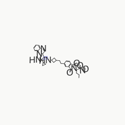 CCCC(C(=O)N=O)N1C(=O)c2ccc(CCC3CC(N/C=C(\C(=N)C4CC4)c4cnc5ccccc5n4)C3)cc2C1=O